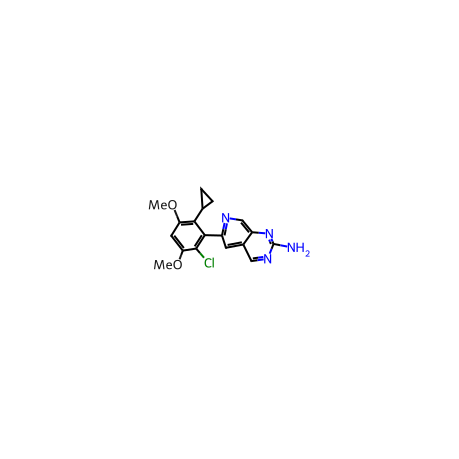 COc1cc(OC)c(C2CC2)c(-c2cc3cnc(N)nc3cn2)c1Cl